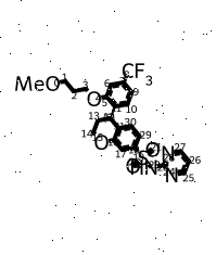 COCCCOc1cc(C(F)(F)F)ccc1[C@@H]1CCOc2cc(S(=O)(=O)Nc3ncccn3)ccc21